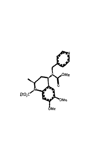 CCOC(=O)N1c2cc(OC)c(OC)cc2[C@H](N(Cc2ccncc2)C(=O)OC)C[C@@H]1C